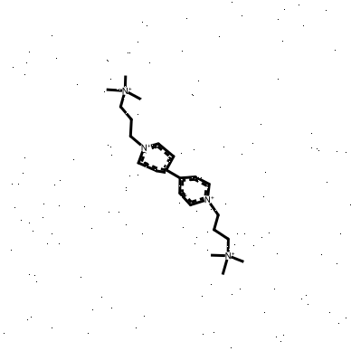 C[N+](C)(C)CCC[n+]1ccc(-c2cc[n+](CCC[N+](C)(C)C)cc2)cc1